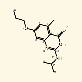 CCCOc1cc(C)c2c(=O)oc(NC(C)C)nc2c1